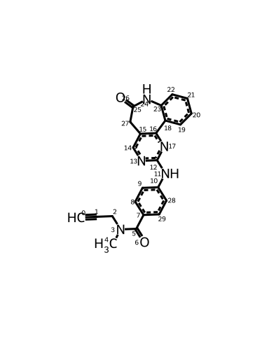 C#CCN(C)C(=O)c1ccc(Nc2ncc3c(n2)-c2ccccc2NC(=O)C3)cc1